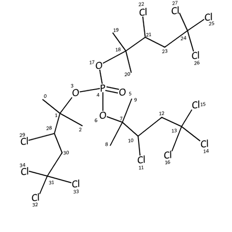 CC(C)(OP(=O)(OC(C)(C)C(Cl)CC(Cl)(Cl)Cl)OC(C)(C)C(Cl)CC(Cl)(Cl)Cl)C(Cl)CC(Cl)(Cl)Cl